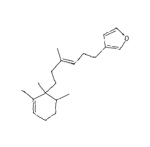 CC(=CCCc1ccoc1)CCC1(C)C(C)=CCCC1C